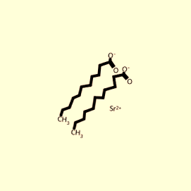 CCCCCCCCCCC(=O)[O-].CCCCCCCCCCC(=O)[O-].[Sr+2]